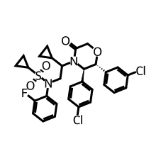 O=C1CO[C@H](c2cccc(Cl)c2)[C@@H](c2ccc(Cl)cc2)N1C(CN(c1ccccc1F)S(=O)(=O)C1CC1)C1CC1